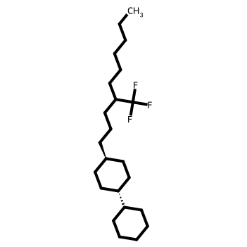 CCCCCCC(CCC[C@H]1CC[C@H](C2CCCCC2)CC1)C(F)(F)F